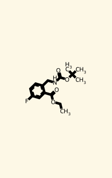 CCOC(=O)c1cc(F)ccc1CNC(=O)OC(C)(C)C